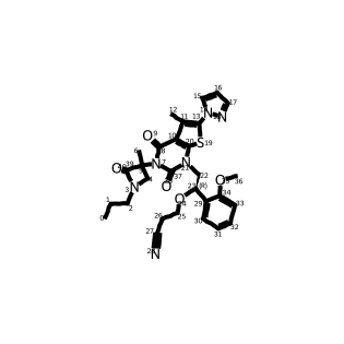 CCCN1CC(C)(n2c(=O)c3c(C)c(-n4cccn4)sc3n(C[C@H](OCCC#N)c3ccccc3OC)c2=O)C1=O